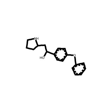 OC(CC1CCCN1)c1ccc(Oc2ccccc2)cc1